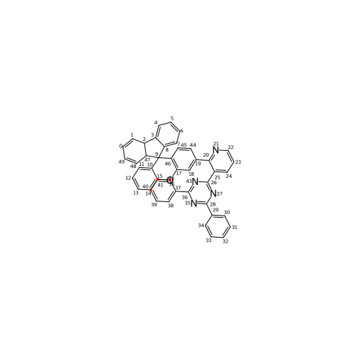 C1=CC2c3ccccc3C3(c4ccccc4Oc4cc(-c5ncccc5-c5nc(-c6ccccc6)nc(-c6ccccc6)n5)ccc43)C2C=C1